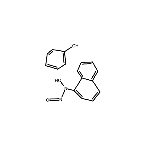 O=NN(O)c1cccc2ccccc12.Oc1ccccc1